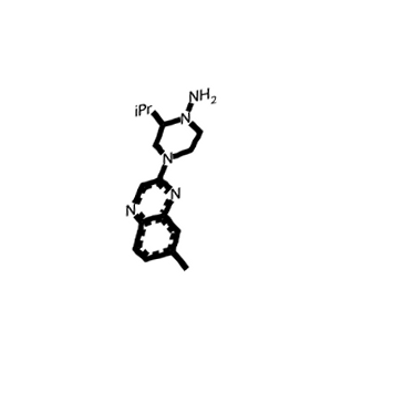 Cc1ccc2ncc(N3CCN(N)C(C(C)C)C3)nc2c1